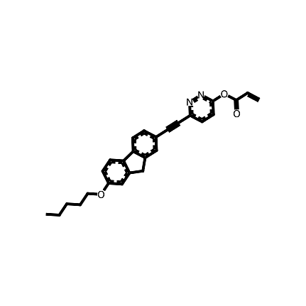 C=CC(=O)Oc1ccc(C#Cc2ccc3c(c2)Cc2cc(OCCCCC)ccc2-3)nn1